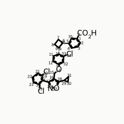 O=C(O)c1cccc([C@@H]2CC[C@H]2c2ccc(OCc3c(-c4c(Cl)cccc4Cl)noc3C3CC3)cc2Cl)c1